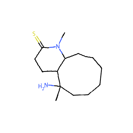 CN1C(=S)CCC2C1CCCCCCC2(C)N